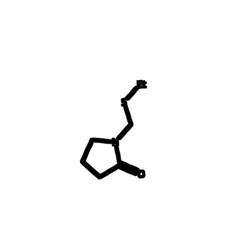 CCSCN1CCCC1=O